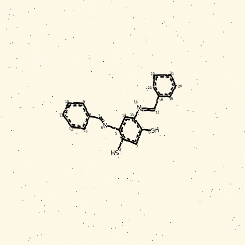 Sc1cc(S)c(N=Cc2ccccc2)cc1N=Cc1ccccc1